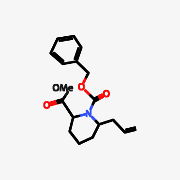 C=CCC1CCCC(C(=O)OC)N1C(=O)OCc1ccccc1